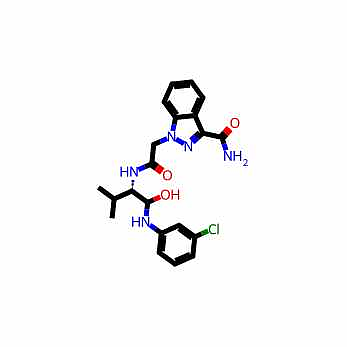 CC(C)[C@H](NC(=O)Cn1nc(C(N)=O)c2ccccc21)C(O)Nc1cccc(Cl)c1